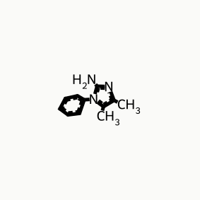 Cc1nc(N)n(-c2ccccc2)c1C